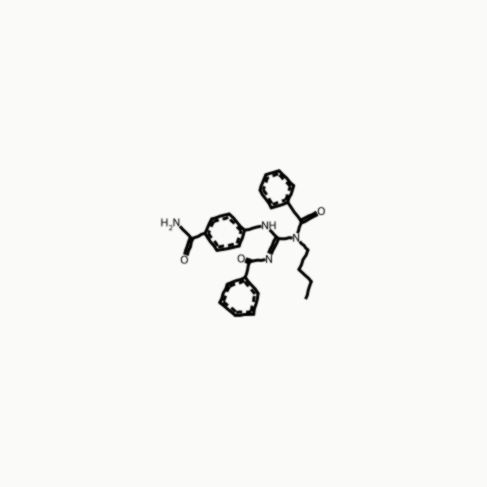 CCCCN(C(=O)c1ccccc1)/C(=N/C(=O)c1ccccc1)Nc1ccc(C(N)=O)cc1